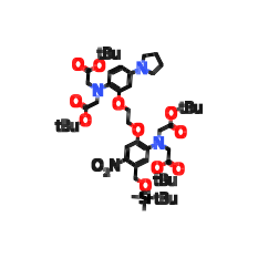 CC(C)(C)OC(=O)CN(CC(=O)OC(C)(C)C)c1ccc(N2CCCC2)cc1OCCOc1cc([N+](=O)[O-])c(CO[Si](C)(C)C(C)(C)C)cc1N(CC(=O)OC(C)(C)C)CC(=O)OC(C)(C)C